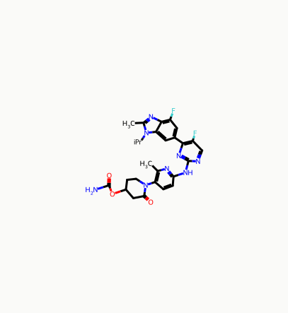 Cc1nc(Nc2ncc(F)c(-c3cc(F)c4nc(C)n(C(C)C)c4c3)n2)ccc1N1CCC(OC(N)=O)CC1=O